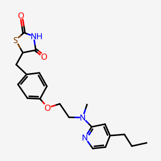 CCCc1ccnc(N(C)CCOc2ccc(CC3SC(=O)NC3=O)cc2)c1